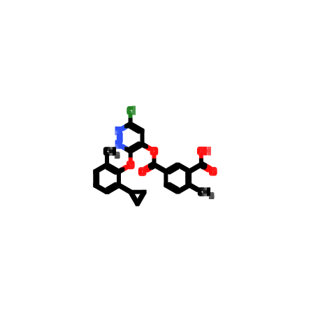 Cc1ccc(C(=O)Oc2cc(Cl)nnc2Oc2c(C)cccc2C2CC2)cc1C(=O)O